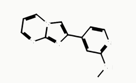 CNc1cc(-c2cn3cccnc3n2)ccn1